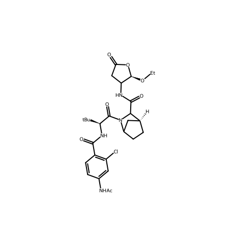 CCO[C@@H]1OC(=O)CC1NC(=O)C1[C@H]2CCC(C2)N1C(=O)[C@@H](NC(=O)c1ccc(NC(C)=O)cc1Cl)C(C)(C)C